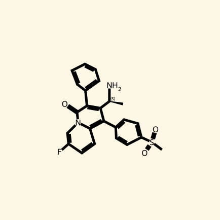 C[C@H](N)c1c(-c2ccccc2)c(=O)n2cc(F)ccc2c1-c1ccc(S(C)(=O)=O)cc1